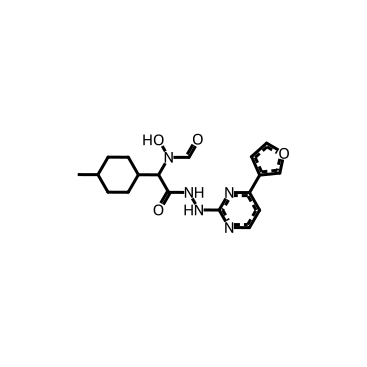 CC1CCC(C(C(=O)NNc2nccc(-c3ccoc3)n2)N(O)C=O)CC1